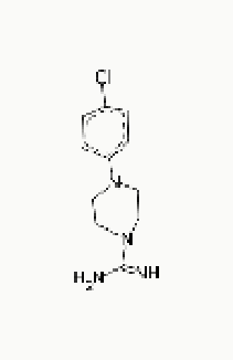 N=C(N)N1CCN(c2ccc(Cl)cc2)CC1